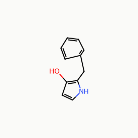 Oc1cc[nH]c1Cc1ccccc1